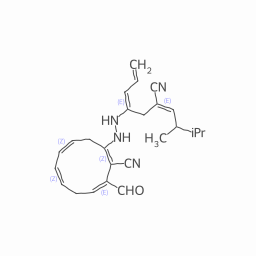 C=C/C=C(\C/C(C#N)=C\C(C)C(C)C)NN/C1=C(C#N)/C(C=O)=C\C/C=C\C=C/C1